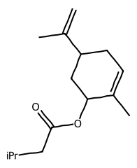 C=C(C)C1CC=C(C)C(OC(=O)CC(C)C)C1